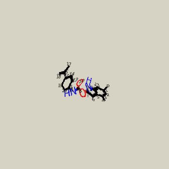 Cc1cc(C)c2cc(OC(=O)N[C@H]3CC[C@H](C(C)C)CC3)[nH]c2c1